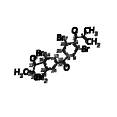 C=C(C)C(=O)c1c(Br)cc(C(=O)c2cc(Br)c(C(=O)C(=C)C)c(Br)c2)cc1Br